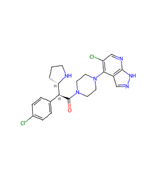 O=C([C@@H](c1ccc(Cl)cc1)[C@@H]1CCCN1)N1CCN(c2c(Cl)cnc3[nH]ncc23)CC1